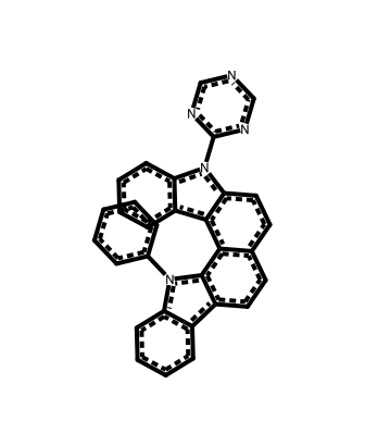 c1ccc(-n2c3ccccc3c3ccc4ccc5c(c6ccccc6n5-c5ncncn5)c4c32)cc1